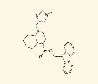 CN1C=NC(CN2CCN(C(=O)OCC3c4ccccc4-c4ccccc43)C3CCCCC32)C1